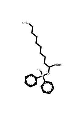 CCCCCCCCCC(CCCCCCCCC=O)O[Si](c1ccccc1)(c1ccccc1)C(C)(C)C